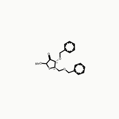 COC1S[C@H](COCc2ccccc2)[C@@H](OCc2ccccc2)C1=O